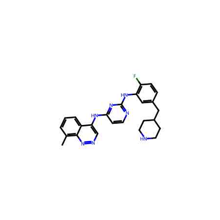 Cc1cccc2c(Nc3ccnc(Nc4cc(CC5CCNCC5)ccc4F)n3)cnnc12